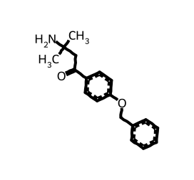 CC(C)(N)CC(=O)c1ccc(OCc2ccccc2)cc1